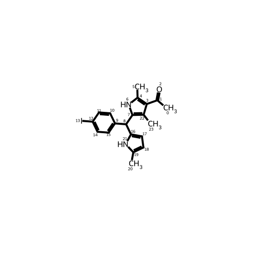 CC(=O)c1c(C)[nH]c(C(c2ccc(I)cc2)c2ccc(C)[nH]2)c1C